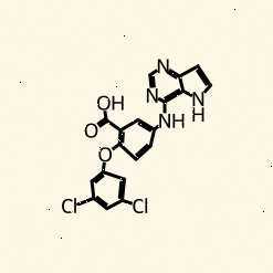 O=C(O)c1cc(Nc2ncnc3cc[nH]c23)ccc1Oc1cc(Cl)cc(Cl)c1